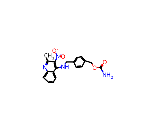 Cc1nc2ccccc2c(NCc2ccc(COC(N)=O)cc2)c1[N+](=O)[O-]